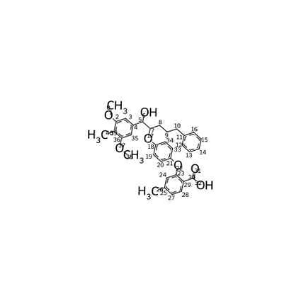 COc1cc(C(O)C(CCCc2ccccc2)Oc2ccc(Oc3cc(C)ccc3C(=O)O)cc2)cc(OC)c1C